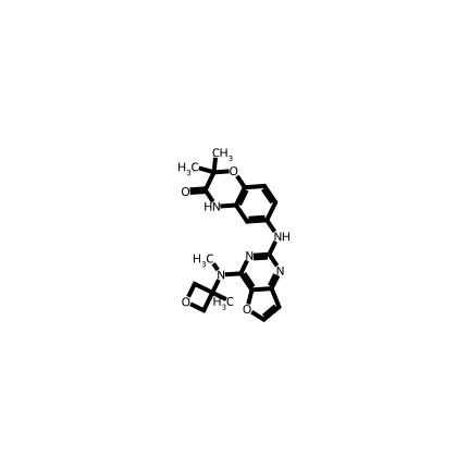 CN(c1nc(Nc2ccc3c(c2)NC(=O)C(C)(C)O3)nc2ccoc12)C1(C)COC1